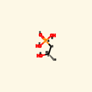 C[C@H](O)CP(=O)(O)O